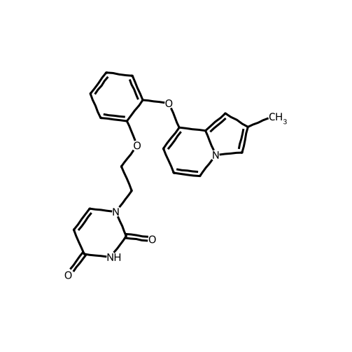 Cc1cc2c(Oc3ccccc3OCCn3ccc(=O)[nH]c3=O)cccn2c1